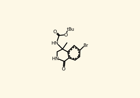 CC(C)(C)OC(=O)NC1(C)CNC(=O)c2ccc(Br)cc21